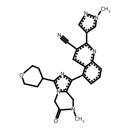 CN1Cc2c(-c3cccc4nc(-c5cnn(C)c5)c(C#N)cc34)nc(C3CCOCC3)n2CC1=O